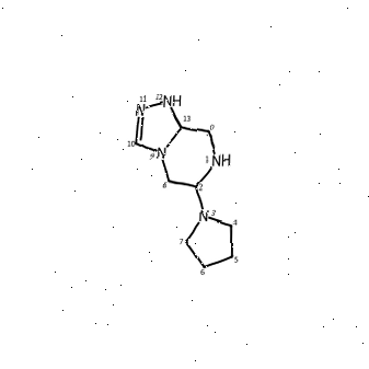 [C]1NC(N2CCCC2)CN2C=NNC12